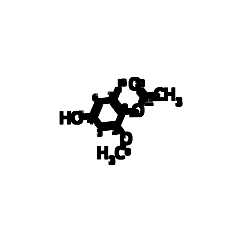 COc1cc(O)cc(I)c1OC(C)=O